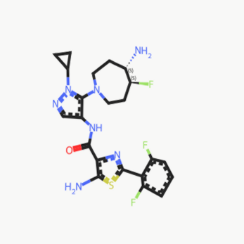 Nc1sc(-c2c(F)cccc2F)nc1C(=O)Nc1cnn(C2CC2)c1N1CC[C@H](N)[C@@H](F)CC1